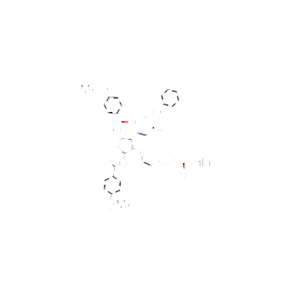 COc1ccc(C(=O)O[C@H]2C[C@@H](OC(=O)c3ccc(OC)cc3)[C@@H](/C=C/C(F)(F)COc3ccccc3)[C@H]2C/C=C\CCCC(=O)OC(C)C)cc1